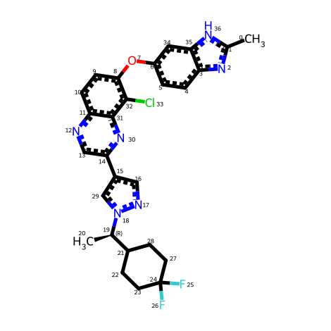 Cc1nc2ccc(Oc3ccc4ncc(-c5cnn([C@H](C)C6CCC(F)(F)CC6)c5)nc4c3Cl)cc2[nH]1